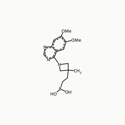 COc1cc2ncnc(N3CC(C)(CCB(O)O)C3)c2cc1OC